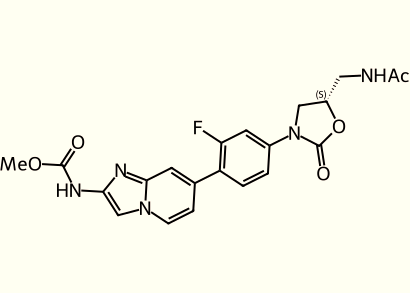 COC(=O)Nc1cn2ccc(-c3ccc(N4C[C@H](CNC(C)=O)OC4=O)cc3F)cc2n1